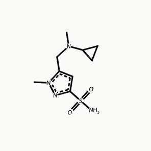 CN(Cc1cc(S(N)(=O)=O)nn1C)C1CC1